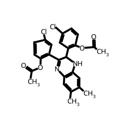 CC(=O)Oc1ccc(Cl)cc1C1=Nc2cc(C)c(C)cc2NC1c1cc(Cl)ccc1OC(C)=O